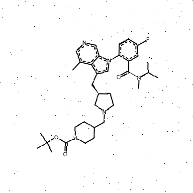 Cc1cncc2c1c(C[C@H]1CCN(CC3CCN(C(=O)OC(C)(C)C)CC3)C1)cn2-c1ccc(F)cc1C(=O)N(C)C(C)C